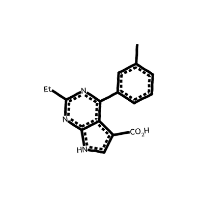 CCc1nc(-c2cccc(C)c2)c2c(C(=O)O)c[nH]c2n1